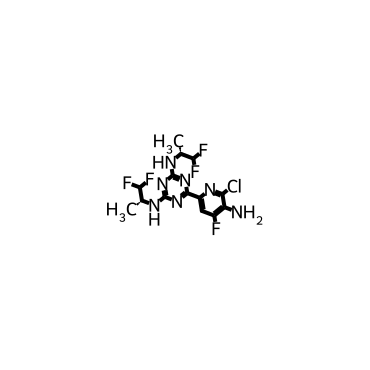 C[C@@H](Nc1nc(N[C@H](C)C(F)F)nc(-c2cc(F)c(N)c(Cl)n2)n1)C(F)F